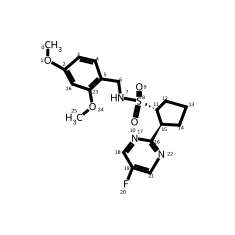 COc1ccc(CNS(=O)(=O)[C@@H]2CCC[C@H]2c2ncc(F)cn2)c(OC)c1